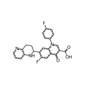 O=C(O)c1cn(-c2ccc(F)cc2)c2cc(C3CCc4ncccc4N3)c(F)cc2c1=O